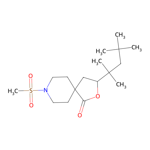 CC(C)(C)CC(C)(C)C1CC2(CCN(S(C)(=O)=O)CC2)C(=O)O1